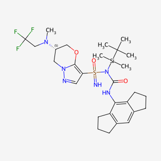 CN(CC(F)(F)F)[C@@H]1COc2c(S(=N)(=O)N(C(=O)Nc3c4c(cc5c3CCC5)CCC4)[Si](C)(C)C(C)(C)C)cnn2C1